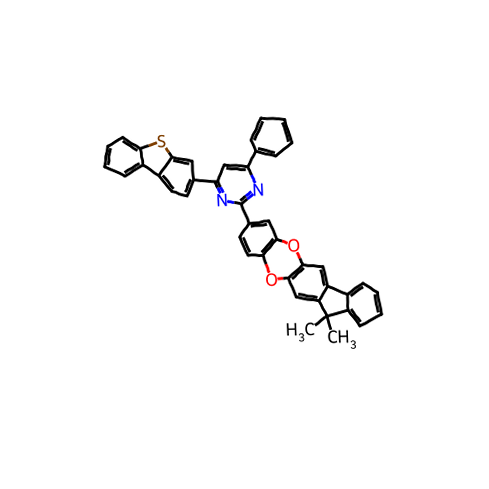 CC1(C)c2ccccc2-c2cc3c(cc21)Oc1ccc(-c2nc(-c4ccccc4)cc(-c4ccc5c(c4)sc4ccccc45)n2)cc1O3